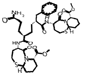 COC(=O)[C@@H]1CCC[C@@H]2SCC[C@H](NC(=O)[C@@H](CCC(N)=O)CC[C@H](Cc3ccccc3)C(=O)N[C@H]3CCS[C@H]4CCC[C@@H](C(=O)OC)N4C3=O)C(=O)N21